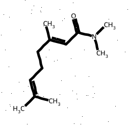 CC(C)=CCCC(C)=CC(=O)N(C)C